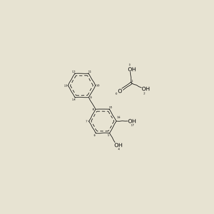 O=C(O)O.Oc1ccc(-c2ccccc2)cc1O